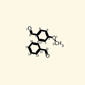 COc1ccc([C]=O)cc1.O=[C]c1ccccc1